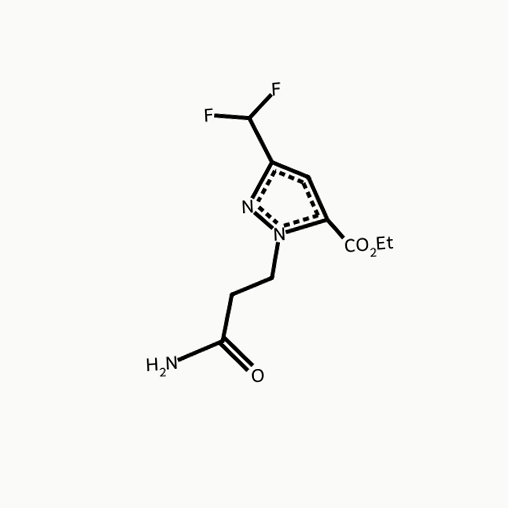 CCOC(=O)c1cc(C(F)F)nn1CCC(N)=O